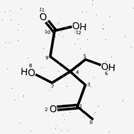 CC(=O)CC(CO)(CO)CC(=O)O